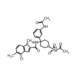 CC(=O)Nc1cccc(C2(NC(=O)c3cc4c(Cl)c(C)ccc4n3C)CCN(S(=O)(=O)NC(C)=O)CC2)c1